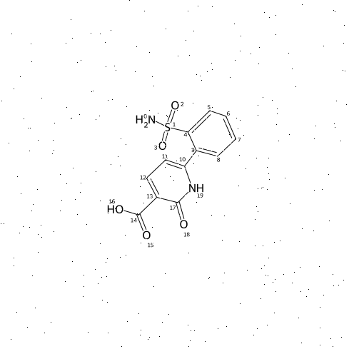 NS(=O)(=O)c1ccccc1-c1ccc(C(=O)O)c(=O)[nH]1